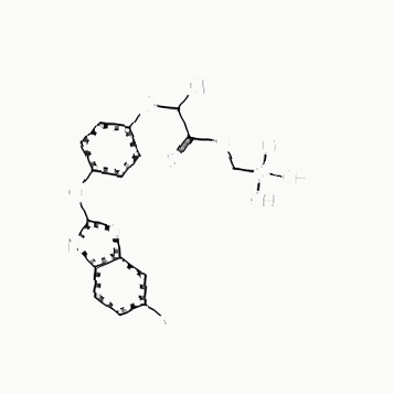 CC(Oc1ccc(Oc2nc3ccc(Cl)cc3s2)cc1)C(=S)OC[Si](C)(C)C